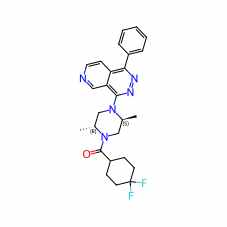 C[C@@H]1CN(c2nnc(-c3ccccc3)c3ccncc23)[C@@H](C)CN1C(=O)C1CCC(F)(F)CC1